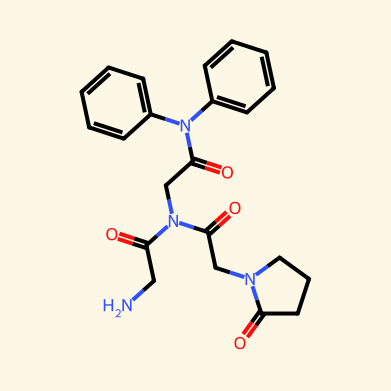 NCC(=O)N(CC(=O)N(c1ccccc1)c1ccccc1)C(=O)CN1CCCC1=O